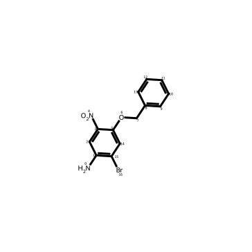 Nc1cc([N+](=O)[O-])c(OCc2ccccc2)cc1Br